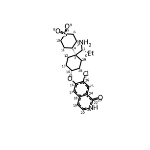 CC[C@@H](N)[C@]1(C2CCS(=O)(=O)CC2)CC[C@@H](Oc2cc3cc[nH]c(=O)c3cc2Cl)CC1